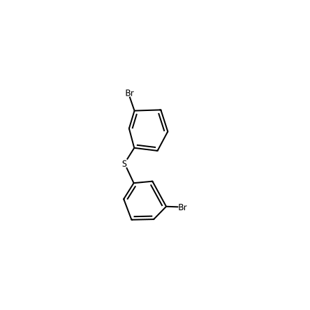 Brc1cccc(Sc2cccc(Br)c2)c1